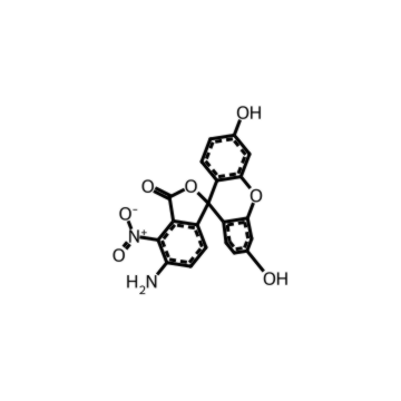 Nc1ccc2c(c1[N+](=O)[O-])C(=O)OC21c2ccc(O)cc2Oc2cc(O)ccc21